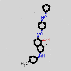 Cc1ccc(Nc2ccc3c(O)c(N=Nc4ccc(N=Nc5ccccc5)cc4)ccc3c2)cc1